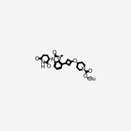 Cn1c(=O)n([C@H]2CCC(=O)NC2=O)c2cccc(C3CC(OC4CCN(C(=O)OC(C)(C)C)CC4)C3)c21